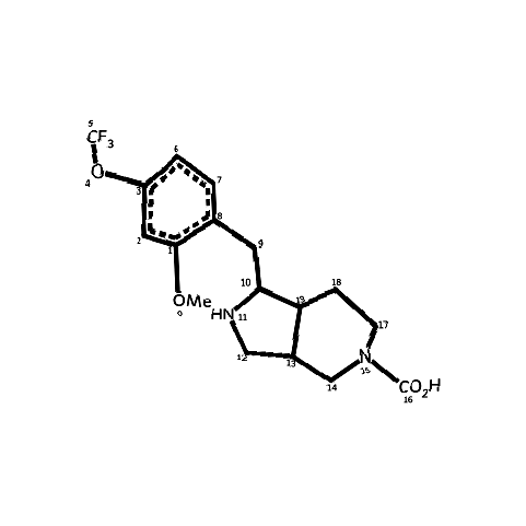 COc1cc(OC(F)(F)F)ccc1CC1NCC2CN(C(=O)O)CCC21